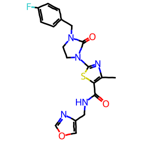 Cc1nc(N2CCN(Cc3ccc(F)cc3)C2=O)sc1C(=O)NCc1cocn1